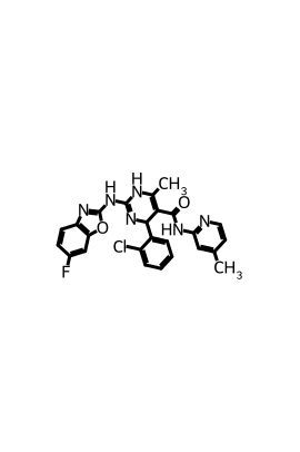 CC1=C(C(=O)Nc2cc(C)ccn2)C(c2ccccc2Cl)N=C(Nc2nc3ccc(F)cc3o2)N1